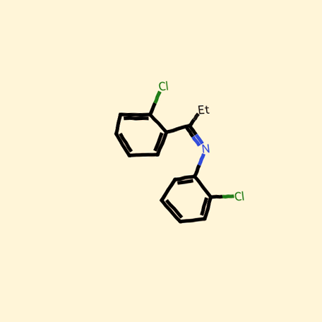 CC/C(=N/c1ccccc1Cl)c1ccccc1Cl